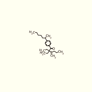 CCCCCC(C)c1ccc(C(=O)C(CC)(CC)B(C)CCC)cc1